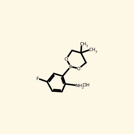 CC1(C)COB(c2cc(F)ccc2N)OC1.Cl